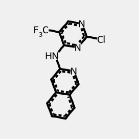 FC(F)(F)c1cnc(Cl)nc1Nc1cc2ccccc2cn1